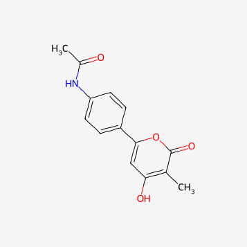 CC(=O)Nc1ccc(-c2cc(O)c(C)c(=O)o2)cc1